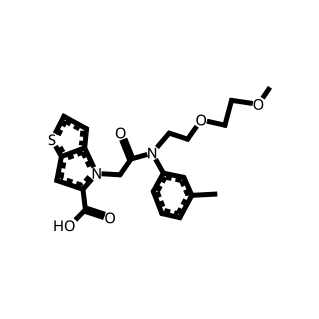 COCCOCCN(C(=O)Cn1c(C(=O)O)cc2sccc21)c1cccc(C)c1